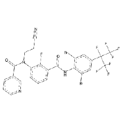 N#CCCN(C(=O)c1cccnc1)c1cccc(C(=O)Nc2c(Br)cc(C(F)(C(F)(F)F)C(F)(F)F)cc2Br)c1F